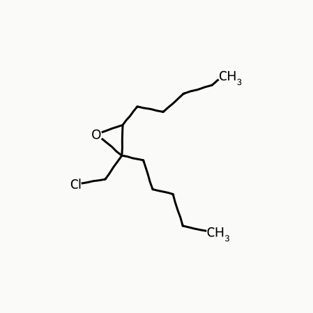 CCCCCC1OC1(CCl)CCCCC